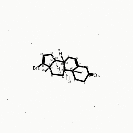 C[C@]12CCC(=O)CC1=CC[C@@H]1[C@@H]2CC[C@]2(C)C(Br)=CC[C@@H]12